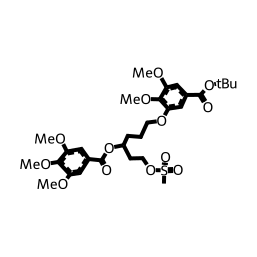 COc1cc(C(=O)OC(CCCOc2cc(C(=O)OC(C)(C)C)cc(OC)c2OC)CCOS(C)(=O)=O)cc(OC)c1OC